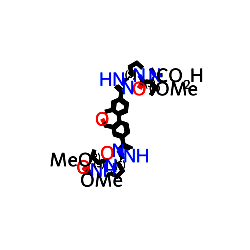 COC(=O)N[C@H](C(=O)N1CCC[C@H]1c1nc(-c2ccc3c(c2)COCc2cc(-c4c[nH]c([C@@H]5CCCN5C(=O)[C@H]([C@@H](C)OC)N(C)C(=O)O)n4)ccc2-3)c[nH]1)[C@@H](C)OC